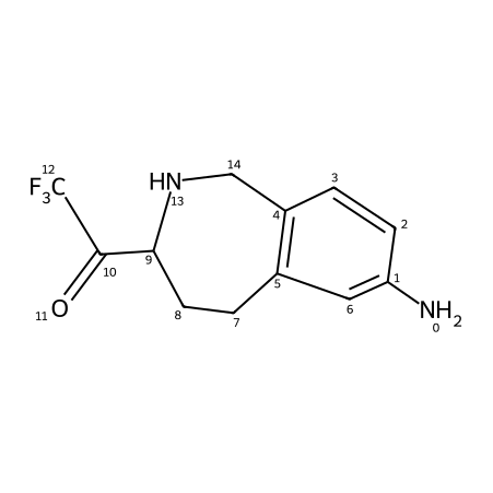 Nc1ccc2c(c1)CCC(C(=O)C(F)(F)F)NC2